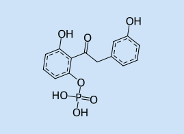 O=C(Cc1cccc(O)c1)c1c(O)cccc1OP(=O)(O)O